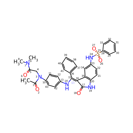 CC(=O)N(CC(=O)N(C)C)c1ccc(N/C(=C2\C(=O)Nc3ccc(NS(=O)(=O)c4ccccc4)cc32)c2ccccc2)cc1